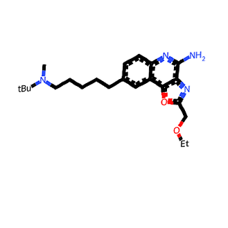 CCOCc1nc2c(N)nc3ccc(CCCCCN(C)C(C)(C)C)cc3c2o1